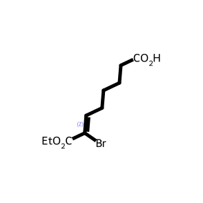 CCOC(=O)/C(Br)=C/CCCCC(=O)O